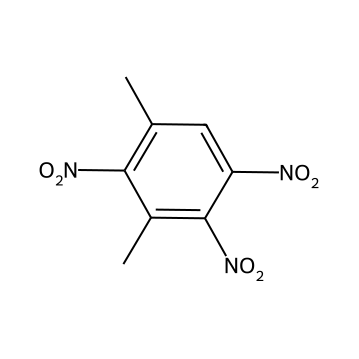 Cc1cc([N+](=O)[O-])c([N+](=O)[O-])c(C)c1[N+](=O)[O-]